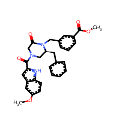 COC(=O)c1cccc(CN2C(=O)CN(C(=O)c3cc4cc(OC)ccc4[nH]3)C[C@@H]2Cc2ccccc2)c1